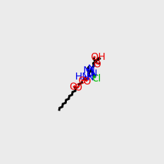 C#CC(CO)(CCn1cnc2c(NC(=O)OCCOC(=O)CCCCCCCCCCC)nc(Cl)nc21)OC